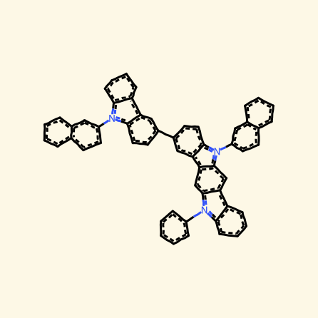 c1ccc(-n2c3ccccc3c3cc4c(cc32)c2cc(-c3ccc5c(c3)c3ccccc3n5-c3ccc5ccccc5c3)ccc2n4-c2ccc3ccccc3c2)cc1